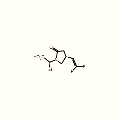 CC[C@@H](C(=O)O)N1C[C@H](C=C(F)F)CC1=O